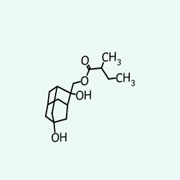 CCC(C)C(=O)OCC1(O)C2CC3CC1CC(O)(C3)C2